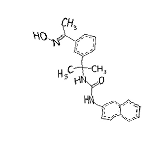 CC(=NO)c1cccc(C(C)(C)NC(=O)Nc2ccc3ccccc3c2)c1